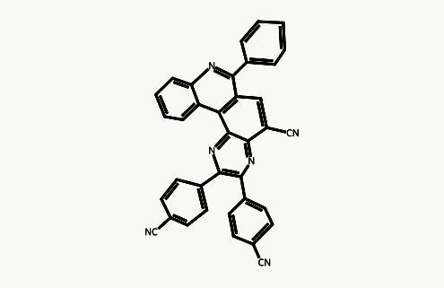 N#Cc1ccc(-c2nc3c(C#N)cc4c(-c5ccccc5)nc5ccccc5c4c3nc2-c2ccc(C#N)cc2)cc1